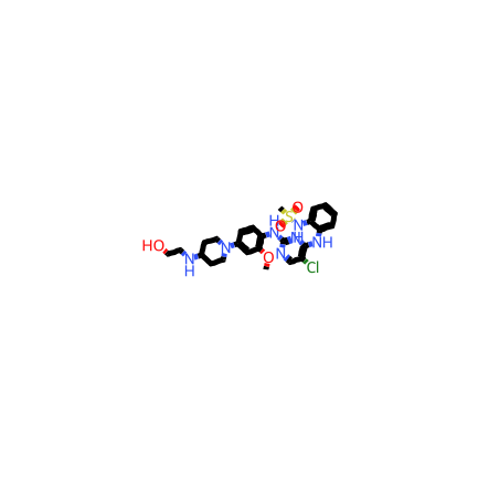 COc1cc(N2CCC(NCCO)CC2)ccc1Nc1ncc(Cl)c(Nc2ccccc2NS(C)(=O)=O)n1